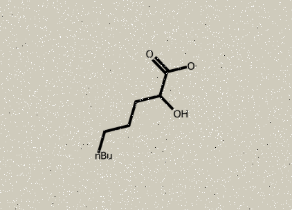 CCCCCCCC(O)C([O])=O